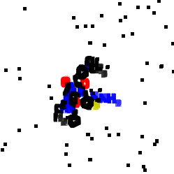 C=CCN(C(=O)NCc1ccccc1)N1CC(=O)N2[C@@H](Cc3ccc(N(C)C)cc3)C(=O)N(Cc3cccc4sc(N)nc34)C[C@@H]21